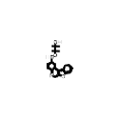 CC(C)(O)C(C)(C)OBc1ccc2ncc3oc4ccccc4c3c2c1